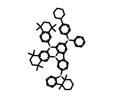 CC1(C)CCC(C)(C)c2cc(N3c4cc5c(cc4B4c6cc(N7c8ccccc8C8(C)CCCCC78C)ccc6-c6cc(N(c7ccccc7)c7ccc(C8CCCCC8)cc7)cc3c64)C(C)(C)CCC5(C)C)ccc21